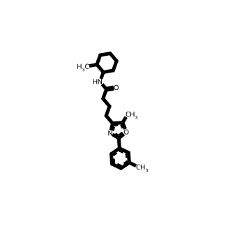 Cc1cccc(-c2nc(CCCC(=O)NC3CCCCC3C)c(C)o2)c1